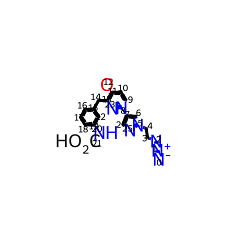 [N-]=[N+]=NCCn1cc(-n2ccc(=O)c(Cc3cccc(NC(=O)O)c3)n2)cn1